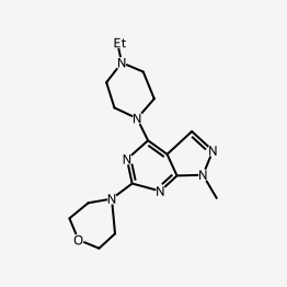 CCN1CCN(c2nc(N3CCOCC3)nc3c2cnn3C)CC1